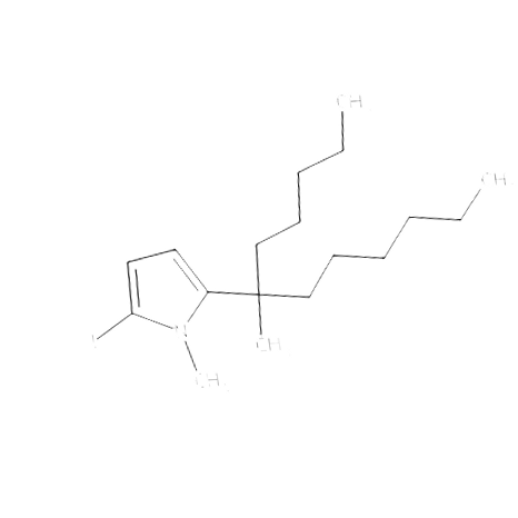 CCCCCCC(C)(CCCCC)c1ccc(I)n1C